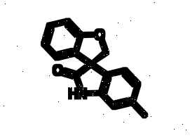 Cc1ccc2c(c1)NC(=O)[C@@]21COc2ccccc21